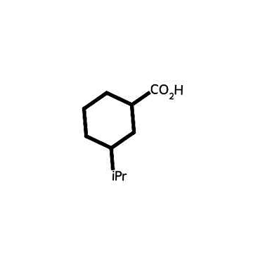 CC(C)C1CCCC(C(=O)O)C1